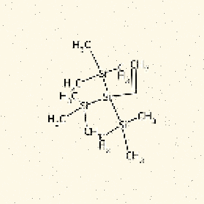 C=C[Si]([Si](C)(C)C)([Si](C)(C)C)[Si](C)(C)C